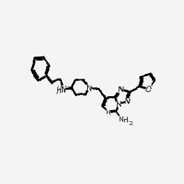 Nc1ncc(CN2CCC(NCCc3ccccc3)CC2)c2nc(-c3ccco3)nn12